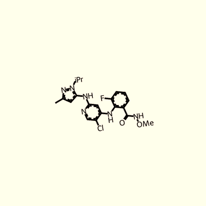 CONC(=O)c1cccc(F)c1Nc1cc(Nc2cc(C)nn2C(C)C)ncc1Cl